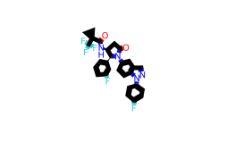 O=C1C[C@H](NC(=O)C2(C(F)(F)F)CC2)[C@@H](c2cccc(F)c2)N1c1ccc2c(cnn2-c2ccc(F)cc2)c1